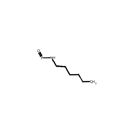 CCCCCCNP=O